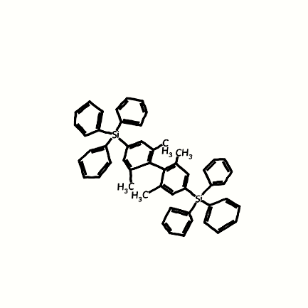 Cc1cc([Si](c2ccccc2)(c2ccccc2)c2ccccc2)cc(C)c1-c1c(C)cc([Si](c2ccccc2)(c2ccccc2)c2ccccc2)cc1C